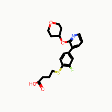 O=C(O)CCCSc1ccc(-c2cccnc2OC2CCOCC2)cc1F